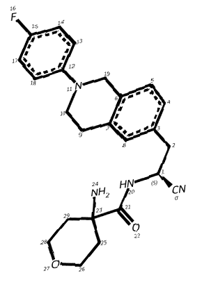 N#C[C@H](Cc1ccc2c(c1)CCN(c1ccc(F)cc1)C2)NC(=O)C1(N)CCOCC1